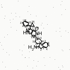 N[C@@H]1Cc2ccccc2C12CCN(c1nc3[nH]nc(C4(c5ccccc5)CC4)c3c(=O)[nH]1)CC2